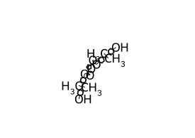 CC(C)(c1ccc(O)cc1)c1ccc(OC(=O)c2ccc(C(=O)Oc3ccc(C(C)(C)c4ccc(O)cc4)cc3)o2)cc1